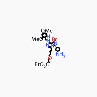 CCOC(=O)CCOCC/C=C/c1cnc(NCc2ccc(OC)cc2OC)c2c(Br)nc([C@@H]3CC[C@@H](N)C3)n12